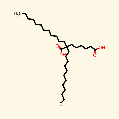 CCCCCCCCCCCCC(CCCCCCCCCCCC)(CCCCCC(=O)O)C(=O)O